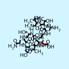 CC(=O)N[C@@H](CO)C(=O)N[C@@H](CCC(N)=O)C(=O)N[C@@H](CC(=O)O)C(=O)N[C@@H](C)C(=O)N[C@@H](CCC(=O)O)C(=O)N[C@@H](CC(=O)O)C(=O)N[C@@H](CC(N)=O)C(=O)N[C@H](C(=O)N[C@H](C(N)=O)C(C)C)[C@@H](C)O